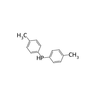 Cc1ccc(Pc2ccc(C)cc2)cc1